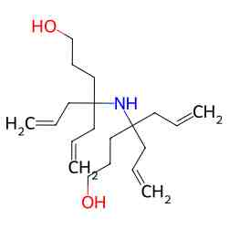 C=CCC(CC=C)(CCCO)NC(CC=C)(CC=C)CCCO